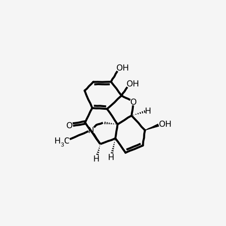 CN1CC[C@]23C4=C5CC=C(O)C4(O)O[C@H]2[C@@H](O)C=C[C@H]3[C@H]1C5=O